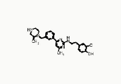 Cc1cc(-c2cccc(CN3CCNCC3C)c2)nc(NCCc2ccc(O)c(Cl)c2)n1